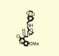 COc1ccc2ncc(Cl)c(C(O)CN3CCOC(CNCc4ccc5c(c4)OCCO5)C3)c2c1